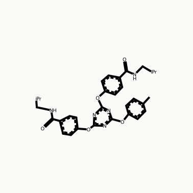 Cc1ccc(Oc2nc(Oc3ccc(C(=O)NCC(C)C)cc3)nc(Oc3ccc(C(=O)NCC(C)C)cc3)n2)cc1